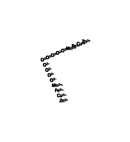 [Cu+2].[Cu+2].[Fe+3].[Fe+3].[Mn+2].[Mn+2].[O-2].[O-2].[O-2].[O-2].[O-2].[O-2].[O-2].[O-2].[O-2].[Zn+2].[Zn+2]